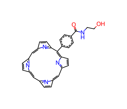 O=C(NCCO)c1ccc(C2=C3C=CC(=N3)C=C3C=CC(=N3)C=C3C=CC(=N3)C=C3C=CC2=N3)cc1